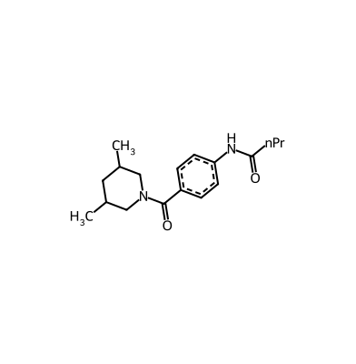 CCCC(=O)Nc1ccc(C(=O)N2CC(C)CC(C)C2)cc1